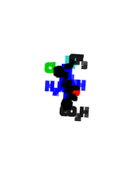 Cc1sc([C@@]2(C)C(=O)Nc3nc(-c4nn(CCC(F)(F)C(F)(F)F)c5cc(Cl)ccc45)nc(N)c32)nc1-c1ccc(C(=O)O)cc1